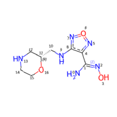 N/C(=N\O)c1nonc1NC[C@H]1CNCCO1